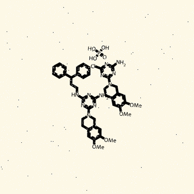 COc1cc2c(cc1OC)CN(c1nc(N)nc(Cl)n1)CC2.COc1cc2c(cc1OC)CN(c1nc(N)nc(NCCC(c3ccccc3)c3ccccc3)n1)CC2.O=P(O)(O)O